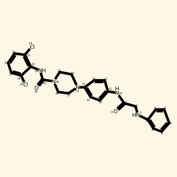 O=C(CNc1ccccc1)Nc1ccc(N2CCN(C(=O)Nc3c(Cl)cccc3Cl)CC2)cc1